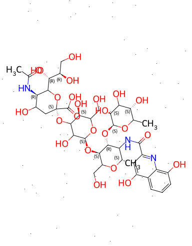 CC(=O)N[C@@H]1C(O)C[C@](OC2C(O)[C@H](O[C@@H]3C(CO)O[C@@H](C)C(NC(=O)c4cc(O)c5cccc(O)c5n4)[C@H]3O[C@@H]3OC(C)[C@@H](O)C(O)[C@@H]3O)OC(CO)[C@@H]2O)(C(=O)O)OC1[C@H](O)[C@H](O)CO